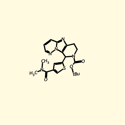 CN(C)C(=O)c1csc(C2c3c(nc4cccnn34)CCN2C(=O)OC(C)(C)C)c1